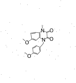 COc1ccc(Cn2c(=O)c(=O)n(C)c3ccc(OC)cc32)cc1